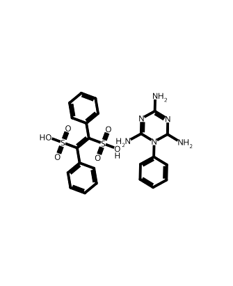 NC1=NC(N)N(c2ccccc2)C(N)=N1.O=S(=O)(O)C(=C(c1ccccc1)S(=O)(=O)O)c1ccccc1